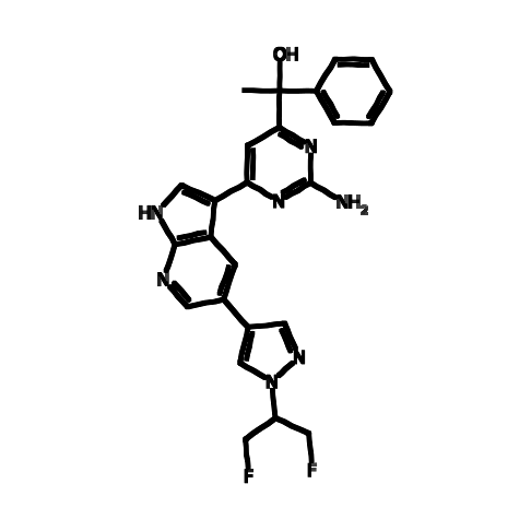 CC(O)(c1ccccc1)c1cc(-c2c[nH]c3ncc(-c4cnn(C(CF)CF)c4)cc23)nc(N)n1